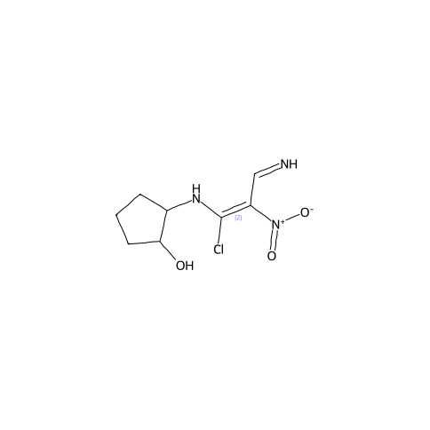 N=C/C(=C(/Cl)NC1CCCC1O)[N+](=O)[O-]